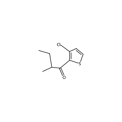 CCC(C)C(=O)c1sccc1Cl